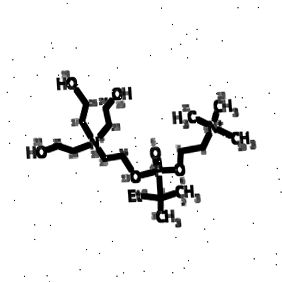 CCC(C)(C)P(=O)(OCC[N+](C)(C)C)OCC[N+](CCO)(CCO)CCO